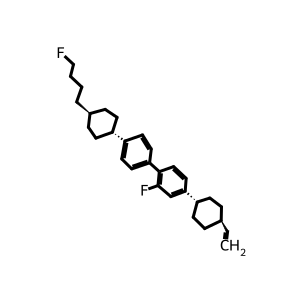 C=C[C@H]1CC[C@H](c2ccc(-c3ccc([C@H]4CC[C@H](CCCCF)CC4)cc3)c(F)c2)CC1